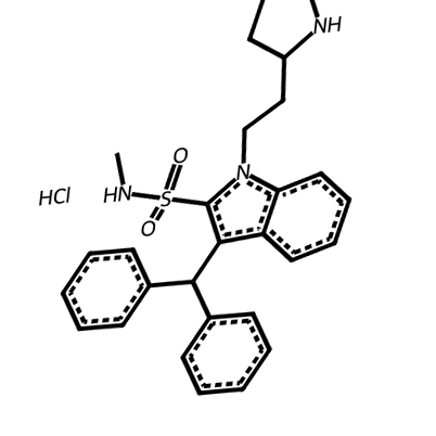 CNS(=O)(=O)c1c(C(c2ccccc2)c2ccccc2)c2ccccc2n1CCC1CCCN1.Cl